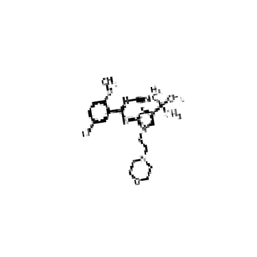 COc1ccc(Cl)cc1C(=NC#N)N=c1sc(C(C)(C)C)cn1CCN1CCOCC1